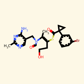 CC(=C(CCO)SC(=O)C1(c2cccc(Br)c2)CC1)N(C=O)Cc1cnc(C)nc1N